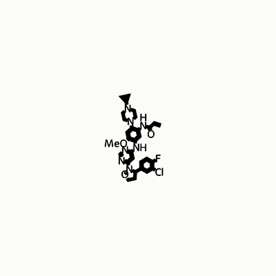 C=CC(=O)Nc1cc(Nc2cc(N3OCCC3c3ccc(F)c(Cl)c3)ncn2)c(OC)cc1N1CCN(C2CC2)CC1